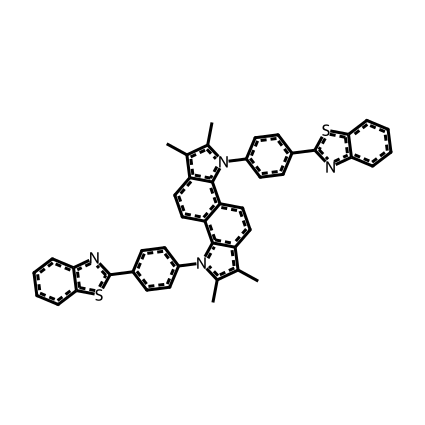 Cc1c(C)n(-c2ccc(-c3nc4ccccc4s3)cc2)c2c1ccc1c2ccc2c(C)c(C)n(-c3ccc(-c4nc5ccccc5s4)cc3)c21